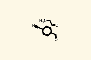 CCC=O.N#Cc1ccc(C=O)cc1